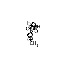 Cc1cc2cc(N3C(=O)[C@@H]4[C@H]5CC[C@H](C(=O)C5)[C@@H]4C3=O)ccc2o1